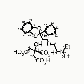 CCN(CC)CCOCCC1(c2ccccc2)Oc2ccccc2O1.O=C(O)CC(O)(CC(=O)O)C(=O)O